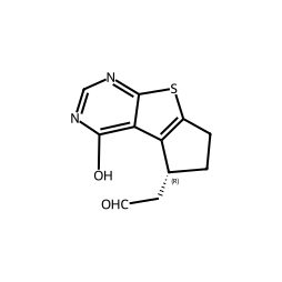 O=CC[C@H]1CCc2sc3ncnc(O)c3c21